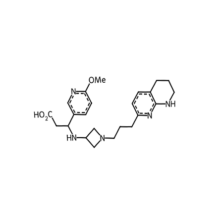 COc1ccc(C(CC(=O)O)NC2CN(CCCc3ccc4c(n3)NCCC4)C2)cn1